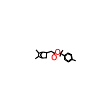 Cc1ccc(C(C)(C)OC(=O)CC2CC3CC2C(C)C3C)cc1